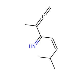 C=C=C(C)C(=N)/C=C\C(C)C